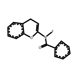 O=C(c1ccccc1)N(F)C1=CCc2ccccc2O1